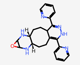 c1ccc(C2=NNC(c3ccccn3)=C3CC[C@@H]4NC5OC5N[C@@H]4CCC23)nc1